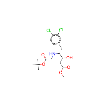 COC(=O)C[C@@H](O)[C@@H](Cc1ccc(Cl)c(Cl)c1)NCC(=O)OC(C)(C)C